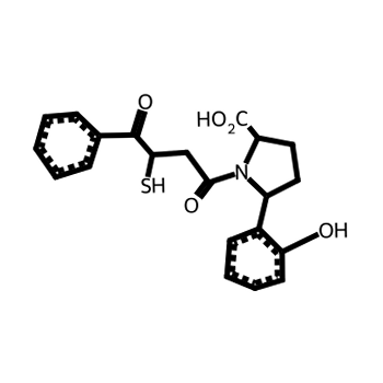 O=C(c1ccccc1)C(S)CC(=O)N1C(C(=O)O)CCC1c1ccccc1O